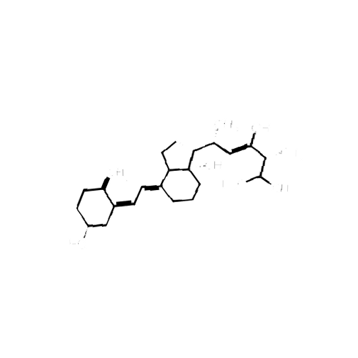 C=C1CC[C@H](O)C/C1=C/C=C1\CCC[C@@]2(C)C1CC[C@@H]2[C@H](C)/C=C(\O)[C@H](C)C(C)C